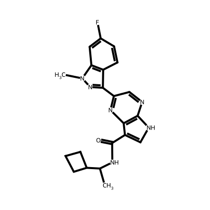 CC(NC(=O)c1c[nH]c2ncc(-c3nn(C)c4cc(F)ccc34)nc12)C1CCC1